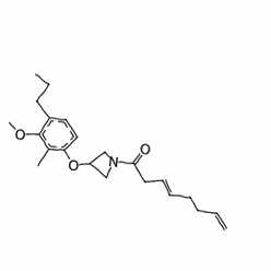 C=CCC/C=C/CC(=O)N1CC(Oc2ccc(CCC)c(OC)c2C)C1